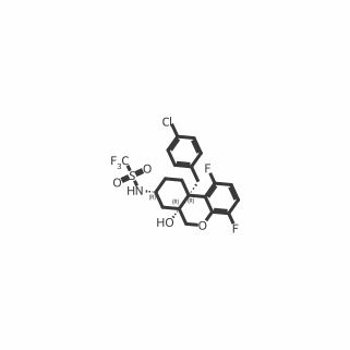 O=S(=O)(N[C@@H]1CC[C@@]2(Cc3ccc(Cl)cc3)c3c(F)ccc(F)c3OC[C@@]2(O)C1)C(F)(F)F